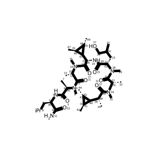 CC(C)C[C@@H](NC(=O)[C@@H](C)N(C)C(=O)[C@H](C)N(C)C(=O)[C@@H](NC(=O)[C@H](CC(C)CO)N(C)C(=O)[C@H](C)N(C)C(=O)[C@H](C)C1[C@@H](C)[C@@H]1C)C1[C@@H](C)[C@@H]1C)C(N)=O